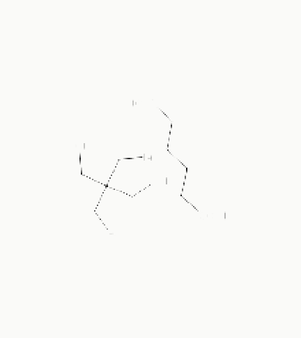 O=C(O)CCCCC(=O)O.OCC(CO)(CBr)CBr